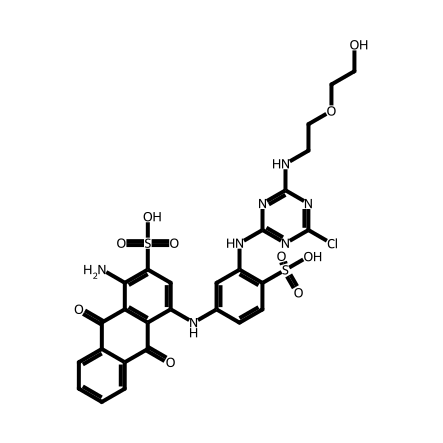 Nc1c(S(=O)(=O)O)cc(Nc2ccc(S(=O)(=O)O)c(Nc3nc(Cl)nc(NCCOCCO)n3)c2)c2c1C(=O)c1ccccc1C2=O